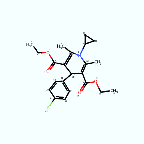 CCOC(=O)C1=C(C)N(C2CC2)C(C)=C(C(=O)OCC)C1c1ccc(F)cc1